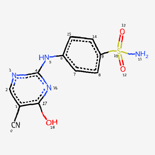 N#Cc1cnc(Nc2ccc(S(N)(=O)=O)cc2)nc1O